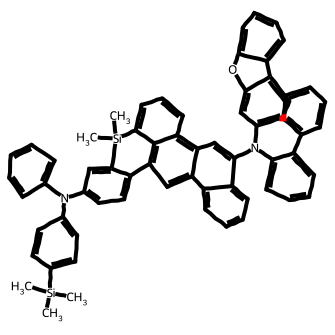 C[Si](C)(C)c1ccc(N(c2ccccc2)c2ccc3c(c2)[Si](C)(C)c2cccc4c2c-3cc2c3ccccc3c(N(c3ccc5c(c3)oc3ccccc35)c3ccccc3-c3ccccc3)cc42)cc1